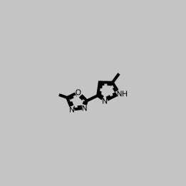 Cc1cc(-c2nnc(C)o2)n[nH]1